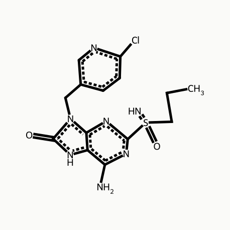 CCCS(=N)(=O)c1nc(N)c2[nH]c(=O)n(Cc3ccc(Cl)nc3)c2n1